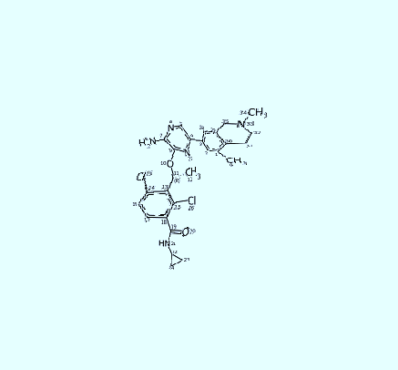 Cc1cc(-c2cnc(N)c(O[C@H](C)c3c(Cl)ccc(C(=O)NC4CC4)c3Cl)n2)cc2c1CCN(C)C2